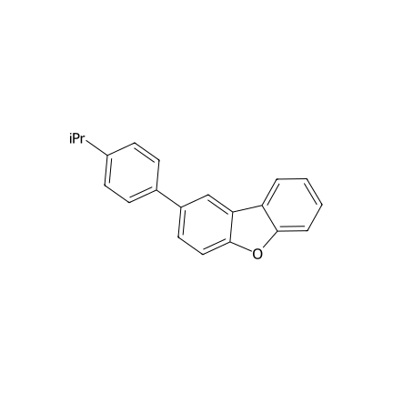 CC(C)c1ccc(-c2ccc3oc4ccccc4c3c2)cc1